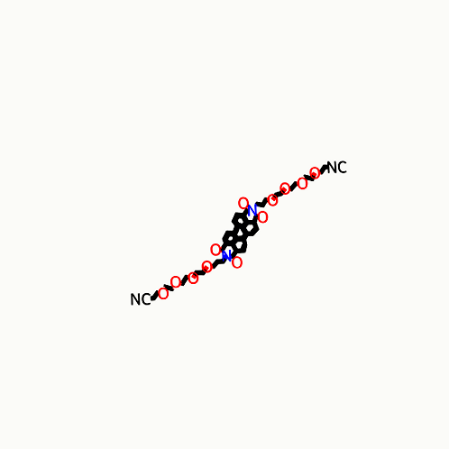 [C-]#[N+]CCOCCOCCOCCOCCCN1C(=O)c2ccc3c4c(c5c6c7c(ccc63)C(=O)N(CCCOCCOCCOCCOCCC#N)C(=O)C7C=C5)C=CC(C1=O)c24